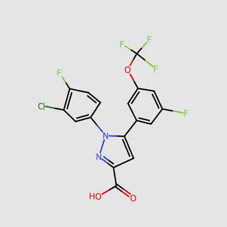 O=C(O)c1cc(-c2cc(F)cc(OC(F)(F)F)c2)n(-c2ccc(F)c(Cl)c2)n1